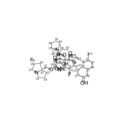 C#Cc1c(F)ccc2cc(O)cc(-c3nc4c5c(nc(OC[C@@]67CCCN6C[C@H](F)C7)nc5c3F)N3CC5CCC(C3CO4)N5C(=O)OC(C)OC(C)=O)c12